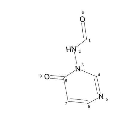 O=CNn1cnccc1=O